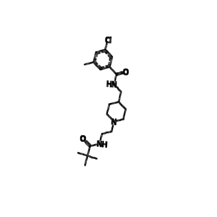 Cc1cc(Cl)cc(C(=O)NCC2CCN(CCNC(=O)C(C)(C)C)CC2)c1